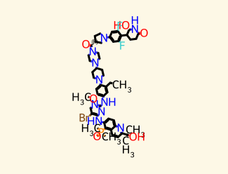 CCc1cc(Nc2ncc(Br)c(Nc3ccc4nc(C(C)(C)O)ccc4c3P(C)(C)=O)n2)c(OC)cc1N1CCC(N2CCN(C(=O)[C@@H]3CCN(c4cc(F)c(C5CCC(=O)NC5O)c(F)c4)C3)CC2)CC1